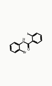 O=C(Nc1ccccc1Br)c1ccccc1I